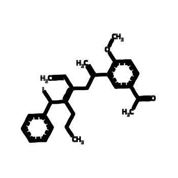 C=C/C(CC(=C)c1cc(C(C)=O)ccc1OC)=C(/CCC)C(I)c1ccccc1